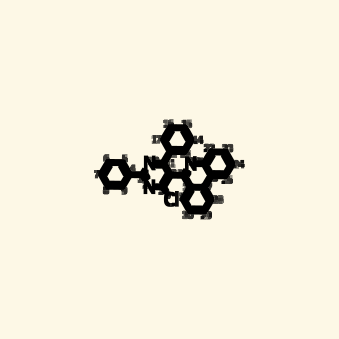 Clc1nc(-c2ccccc2)nc(-c2ccccc2)c1-c1nc2ccccc2c2ccccc12